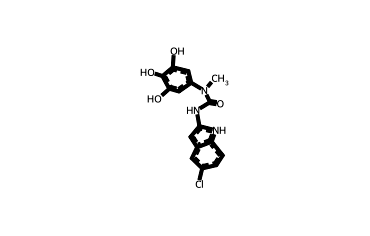 CN(C(=O)Nc1cc2cc(Cl)ccc2[nH]1)c1cc(O)c(O)c(O)c1